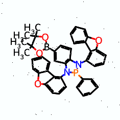 CC1(C)OB(c2ccc3c(c2)N(c2cccc4oc5ccccc5c24)P(c2ccccc2)N3c2cccc3oc4ccccc4c23)OC1(C)C